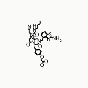 CCCCNC(=O)N(CC#N)N1CC(=O)N2[C@@H](Cc3ccc(OCC(=O)OC)cc3)C(=O)N(Cc3cccc4sc(N)nc34)C[C@@H]21